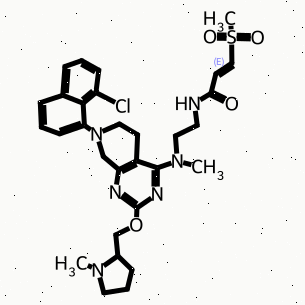 CN(CCNC(=O)/C=C/S(C)(=O)=O)c1nc(OCC2CCCN2C)nc2c1CCN(c1cccc3cccc(Cl)c13)C2